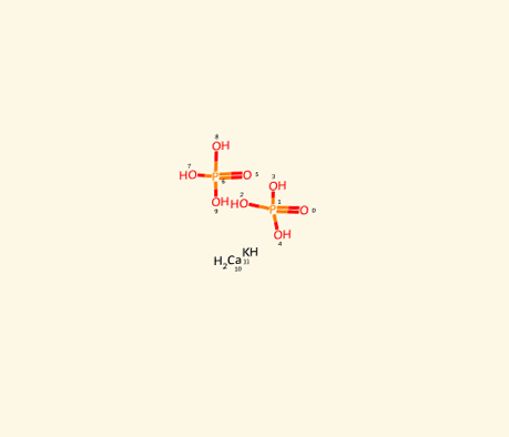 O=P(O)(O)O.O=P(O)(O)O.[CaH2].[KH]